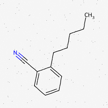 CCCCCc1ccccc1C#N